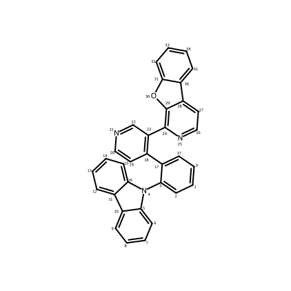 c1ccc(-n2c3ccccc3c3ccccc32)c(-c2ccncc2-c2nccc3c2oc2ccccc23)c1